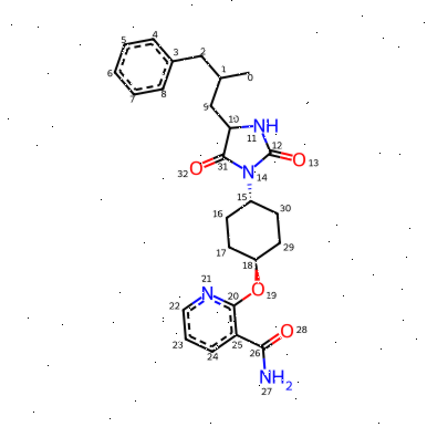 CC(Cc1ccccc1)CC1NC(=O)N([C@H]2CC[C@H](Oc3ncccc3C(N)=O)CC2)C1=O